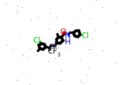 Cc1cc(Cl)cc(C(/C=C/c2ccc(C(=O)NCc3ccc(Cl)cc3)c(C)c2)C(F)(F)F)c1